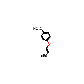 CCCCC=COc1ccc(C(=O)O)cc1